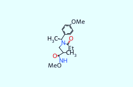 CCC(=O)N(CC(C)C(=O)NOC)[C@@H](C)c1ccc(OC)cc1